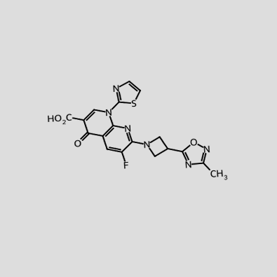 Cc1noc(C2CN(c3nc4c(cc3F)c(=O)c(C(=O)O)cn4-c3nccs3)C2)n1